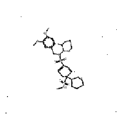 CNS(=O)(=O)C1(C2CCCCC2)C=CC(S(=O)(=O)N(Cc2ccc(OC)c(OC)c2)C2CCCCC2C)=CC1